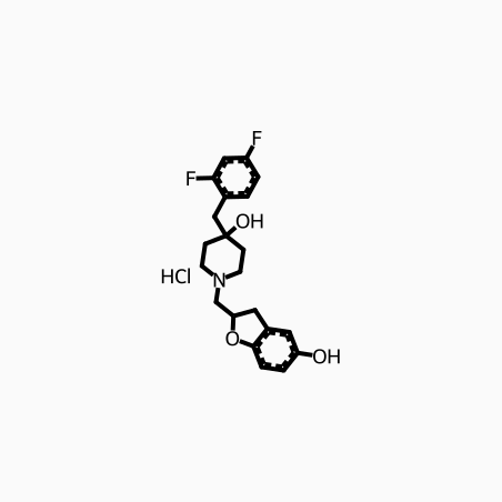 Cl.Oc1ccc2c(c1)CC(CN1CCC(O)(Cc3ccc(F)cc3F)CC1)O2